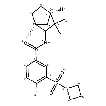 Cc1ccc(C(=O)NC2[C@H]3CC[C@H](C3)C2(C)C)cc1S(=O)(=O)N1CCC1